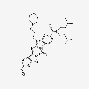 CC(=O)c1ccc2c(n1)sc1c(=O)n3c4ccc(C(=O)N(CCC(C)C)CCC(C)C)cc4n(CCCN4CCCCC4)c3nc12